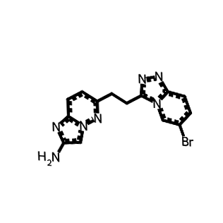 Nc1cn2nc(CCc3nnc4ccc(Br)cn34)ccc2n1